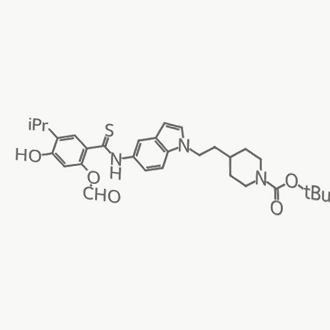 CC(C)c1cc(C(=S)Nc2ccc3c(ccn3CCC3CCN(C(=O)OC(C)(C)C)CC3)c2)c(OC=O)cc1O